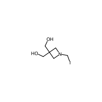 OCC1(CO)CN(CI)C1